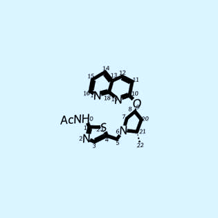 CC(=O)Nc1ncc(CN2C[C@H](Oc3ccc4cccnc4n3)C[C@@H]2C)s1